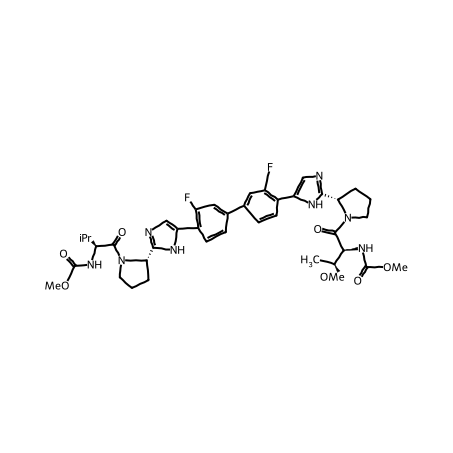 COC(=O)N[C@H](C(=O)N1CCC[C@H]1c1ncc(-c2ccc(-c3ccc(-c4cnc([C@@H]5CCCN5C(=O)[C@@H](NC(=O)OC)[C@H](C)OC)[nH]4)c(F)c3)cc2F)[nH]1)C(C)C